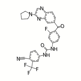 N#Cc1ccc(NC(=O)Nc2ccc(C(=O)c3ccc4ncc(N5CCCC5)nc4c3)c(F)c2)cc1C(F)(F)F